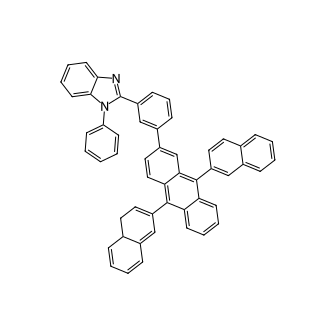 C1=CC2=CC(c3c4ccccc4c(-c4ccc5ccccc5c4)c4cc(-c5cccc(-c6nc7ccccc7n6-c6ccccc6)c5)ccc34)=CCC2C=C1